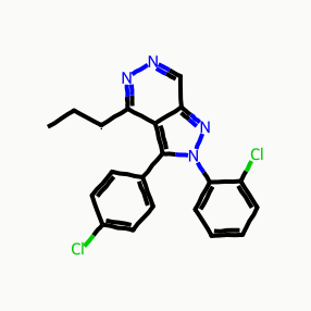 CC[CH]c1nncc2nn(-c3ccccc3Cl)c(-c3ccc(Cl)cc3)c12